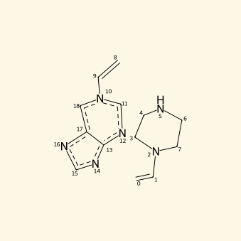 C=CN1CCNCC1.C=Cn1cnc2ncnc-2c1